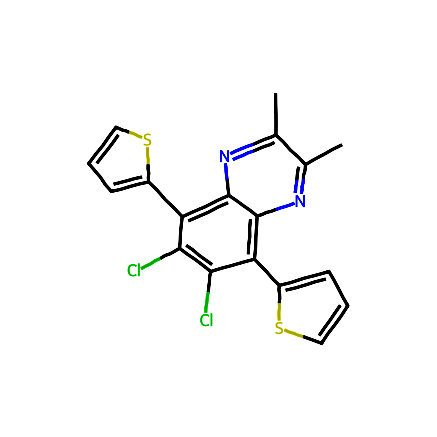 Cc1nc2c(-c3cccs3)c(Cl)c(Cl)c(-c3cccs3)c2nc1C